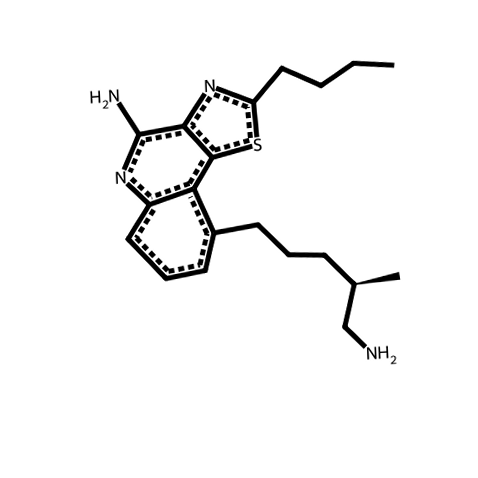 CCCCc1nc2c(N)nc3cccc(CCC[C@@H](C)CN)c3c2s1